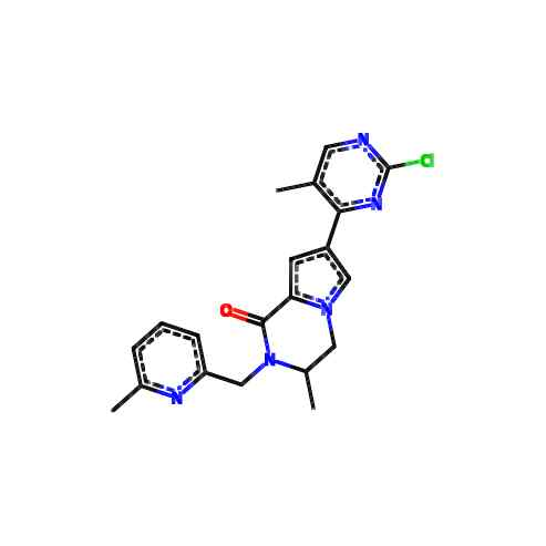 Cc1cccc(CN2C(=O)c3cc(-c4nc(Cl)ncc4C)cn3CC2C)n1